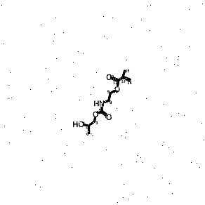 [CH2]C(O)COC(=O)NCCOC(=O)C(=C)C